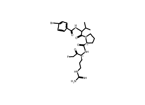 CC(C)C(NC(=O)c1ccc(Br)cc1)C(=O)N1CCC[C@H]1C(=O)N[C@@H](CCCNC(=N)N)C(=O)CF